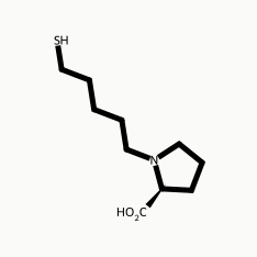 O=C(O)[C@@H]1CCCN1CCCCCS